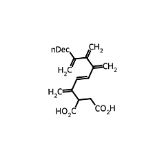 C=C(/C=C/C(=C)C(CC(=O)O)C(=O)O)C(=C)C(=C)CCCCCCCCCC